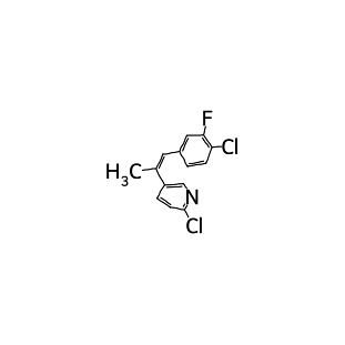 C/C(=C/c1ccc(Cl)c(F)c1)c1ccc(Cl)nc1